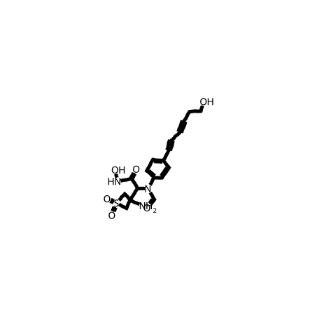 NC1(C(C(=O)NO)N(C=O)c2ccc(C#CC#CCCO)cc2)CS(=O)(=O)C1